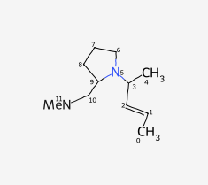 CC=CC(C)N1CCCC1CNC